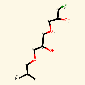 CC(C)C(C)COCC(O)COCC(O)CBr